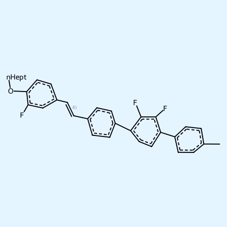 CCCCCCCOc1ccc(/C=C/c2ccc(-c3ccc(-c4ccc(C)cc4)c(F)c3F)cc2)cc1F